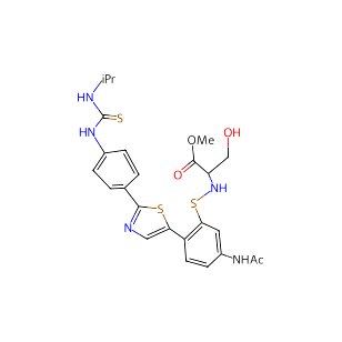 COC(=O)C(CO)NSc1cc(NC(C)=O)ccc1-c1cnc(-c2ccc(NC(=S)NC(C)C)cc2)s1